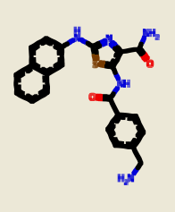 NCc1ccc(C(=O)Nc2sc(Nc3ccc4ccccc4c3)nc2C(N)=O)cc1